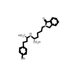 CCCc1ccc(CC[C@H](N[C@H](CCCCN2Cc3ccccc3C2=O)C(=O)O)C(=O)O)cc1